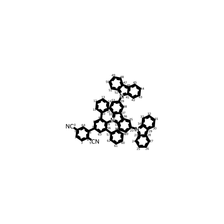 N#Cc1ccc(C#N)c(-c2cc(-c3ccccc3)c(-n3c4ccc(-n5c6ccccc6c6ccccc65)cc4c4cc(-n5c6ccccc6c6ccccc65)ccc43)c(-c3ccccc3)c2)c1